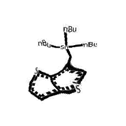 CCC[CH2][Sn]([CH2]CCC)([CH2]CCC)[c]1csc2ccsc12